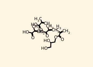 C=C(C)C(=O)O.C=C(C)C(=O)O.C=C(C)C(=O)O.C=C(C)C(=O)OCC(O)CO